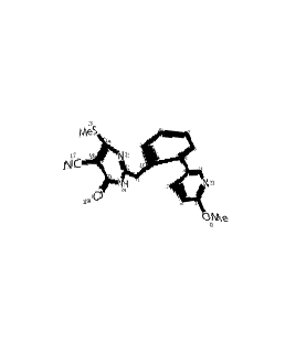 COc1ccc(-c2ccccc2Cc2nc(SC)c(C#N)c(=O)[nH]2)cn1